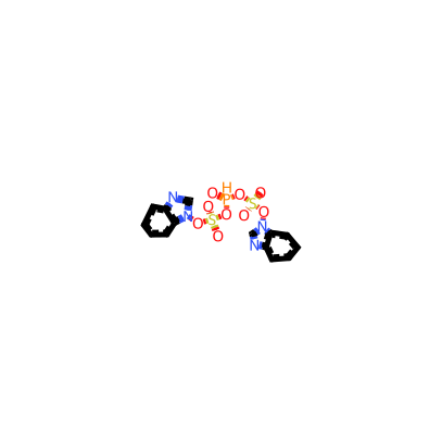 O=[PH](OS(=O)(=O)On1cnc2ccccc21)OS(=O)(=O)On1cnc2ccccc21